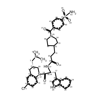 CN(C)C[C@H]1Cc2cc(Cl)ccc2N(C(=O)[C@@H](Cc2c[nH]c3ccccc23)NC(=O)CCC2CCN(C(=O)c3ccc(S(N)(=O)=O)cc3)CC2)C1